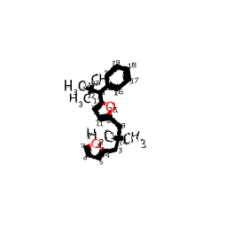 CC(C)(Cc1ccco1)Cc1ccc(C(c2ccccc2)C(C)(C)C)o1